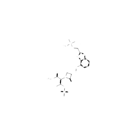 COC(=O)/C(=C(\C)OS(C)(=O)=O)N1C[C@H](SSc2cccc3sc([C@@H](C)O[Si](C)(C)C(C)(C)C)nc23)C1=O